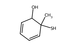 CC1(S)C=CC=CC1O